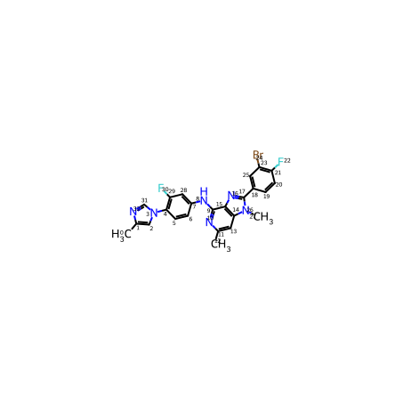 Cc1cn(-c2ccc(Nc3nc(C)cc4c3nc(-c3ccc(F)c(Br)c3)n4C)cc2F)cn1